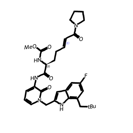 COC(=O)N[C@@H](CC/C=C/C(=O)N1CCCC1)C(=O)Nc1cccn(Cc2cc3cc(F)cc(CC(C)(C)C)c3[nH]2)c1=O